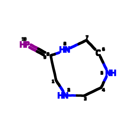 C1CNCCNCCN1.C=P